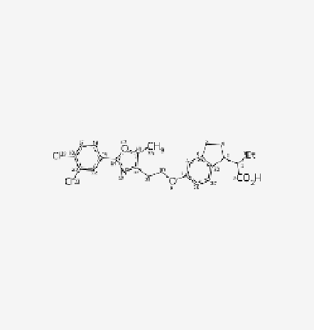 CCC(C(=O)O)C1CCc2cc(OCCc3nc(-c4ccc(Cl)c(Cl)c4)oc3C)ccc21